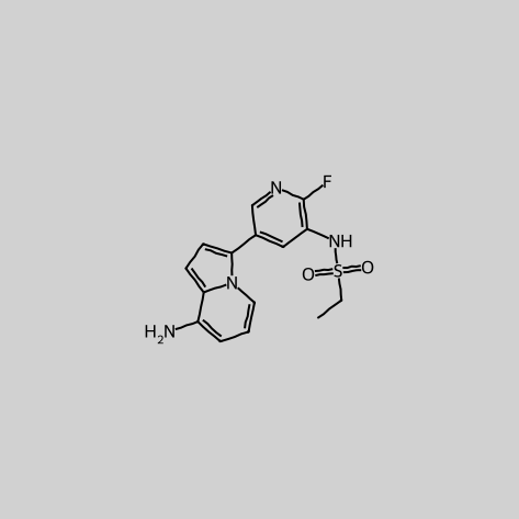 CCS(=O)(=O)Nc1cc(-c2ccc3c(N)cccn23)cnc1F